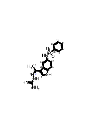 C/C(=N/NC(=N)N)c1c[nH]c2ccc(NS(=O)(=O)c3ccccc3)cc12